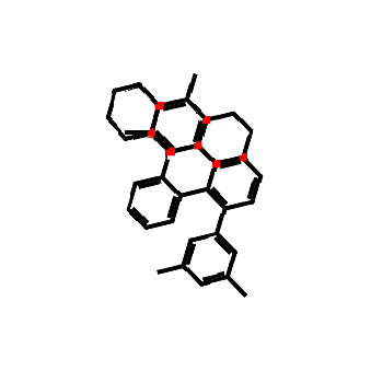 Cc1cc(C)cc(-c2cccc(-c3cc(C)cc(C)c3)c2-c2ccccc2P(C2CCCCC2)C2CCCCC2)c1